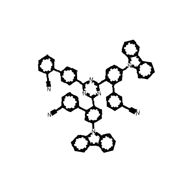 N#Cc1cccc(-c2cc(-n3c4ccccc4c4ccccc43)ccc2-c2nc(-c3ccc(-c4ccccc4C#N)cc3)nc(-c3ccc(-n4c5ccccc5c5ccccc54)cc3-c3cccc(C#N)c3)n2)c1